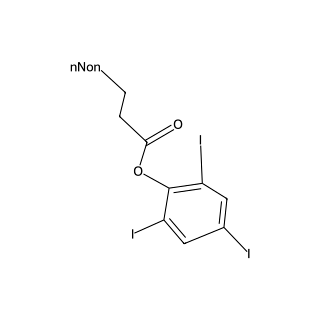 CCCCCCCCCCCC(=O)Oc1c(I)cc(I)cc1I